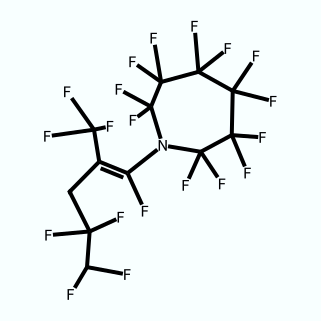 FC(=C(CC(F)(F)C(F)F)C(F)(F)F)N1C(F)(F)C(F)(F)C(F)(F)C(F)(F)C(F)(F)C1(F)F